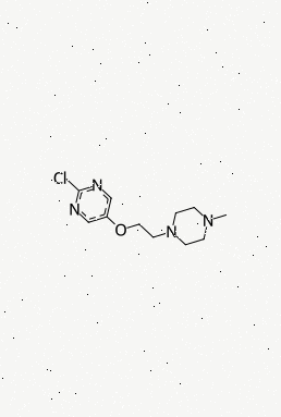 CN1CCN(CCOc2cnc(Cl)nc2)CC1